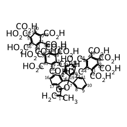 C=C(C)C(=O)OC(c1ccccc1)(c1ccccc1)c1ccccc1.O=C(O)c1c(C(=O)O)c(C(=O)O)c(C(=O)O)c(C(=O)O)c1C(=O)O.O=C(O)c1c(C(=O)O)c(C(=O)O)c(C(=O)O)c(C(=O)O)c1C(=O)O.O=C(O)c1c(C(=O)O)c(C(=O)O)c(C(=O)O)c(C(=O)O)c1C(=O)O